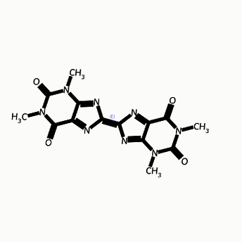 Cn1c(=O)c2c(n(C)c1=O)=N/C(=C1\N=c3c(=O)n(C)c(=O)n(C)c3=N1)N=2